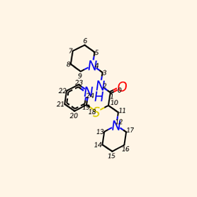 O=C(NCN1CCCCC1)C(CN1CCCCC1)Sc1ccccn1